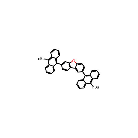 CCCCc1c2ccccc2c(-c2ccc3c(c2)oc2ccc(-c4c5ccccc5c(CCCC)c5ccccc45)cc23)c2ccccc12